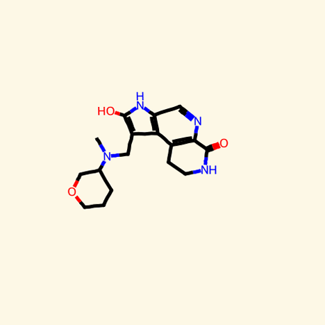 CN(Cc1c(O)[nH]c2cnc3c(c12)CCNC3=O)C1CCCOC1